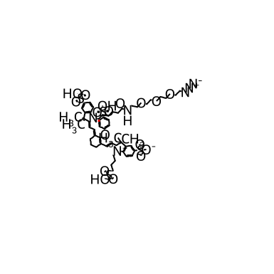 CC1(C)C(/C=C/C2=C(Oc3ccc(S(=O)(=O)O)cc3)C(=C/C=C3\N(CCCCCC(=O)NCCOCCOCCOCCN=[N+]=[N-])c4ccc(S(=O)(=O)O)cc4C3(C)C)/CCC2)=[N+](CCCCS(=O)(=O)O)c2ccc(S(=O)(=O)[O-])cc21